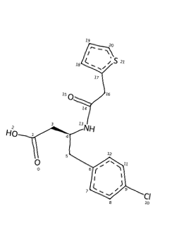 O=C(O)C[C@H](Cc1ccc(Cl)cc1)NC(=O)Cc1cccs1